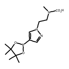 CN(CCn1cc(B2OC(C)(C)C(C)(C)O2)cn1)C(=O)O